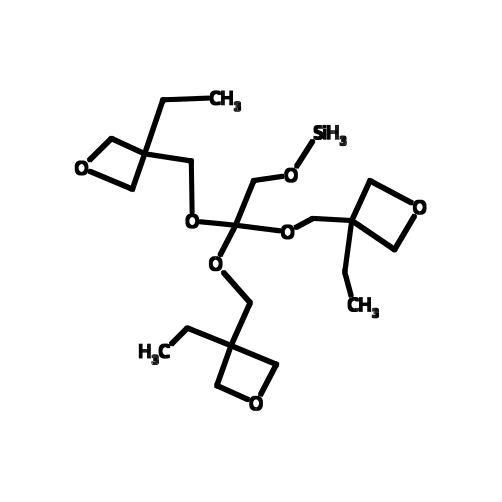 CCC1(COC(CO[SiH3])(OCC2(CC)COC2)OCC2(CC)COC2)COC1